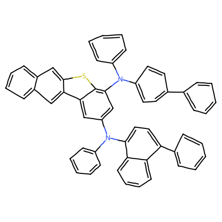 c1ccc(-c2ccc(N(c3ccccc3)c3cc(N(c4ccccc4)c4ccc(-c5ccccc5)c5ccccc45)cc4c3sc3cc5ccccc5cc34)cc2)cc1